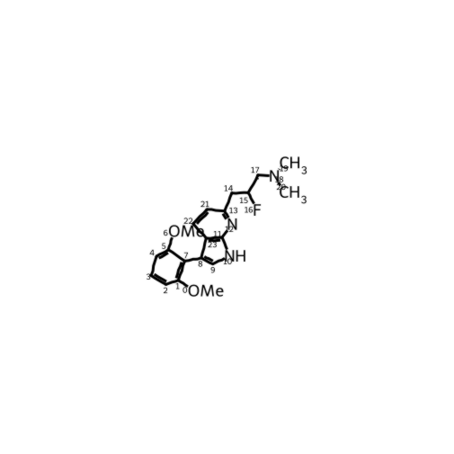 COc1cccc(OC)c1-c1c[nH]c2nc(CC(F)[CH]N(C)C)ccc12